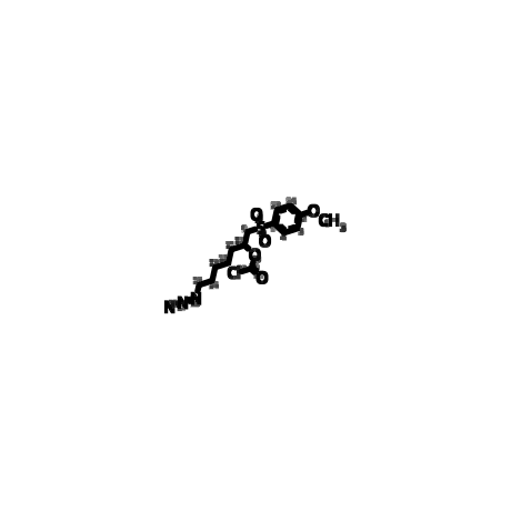 COc1ccc(S(=O)(=O)CC(CCCCCN=[N+]=[N-])OC(=O)Cl)cc1